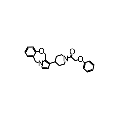 O=C(COc1ccccc1)N1CCC(c2ccn3c2COc2ccccc2C3)CC1